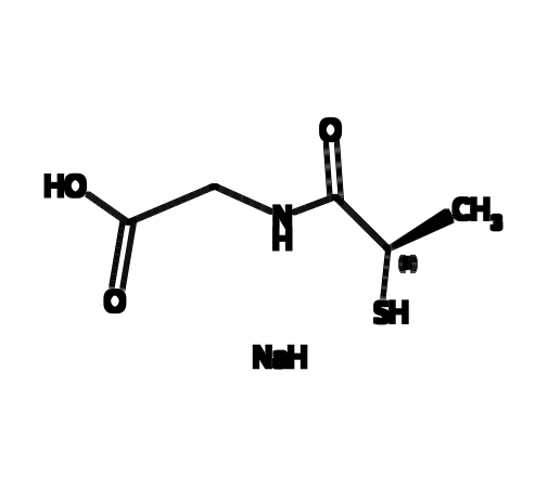 C[C@@H](S)C(=O)NCC(=O)O.[NaH]